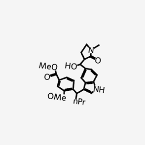 CCCC(c1ccc(C(=O)OC)cc1OC)c1c[nH]c2ccc(C(O)C3CCN(C)C3=O)cc12